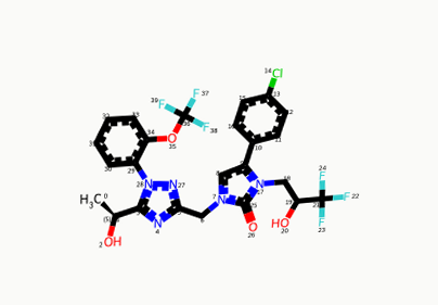 C[C@H](O)c1nc(Cn2cc(-c3ccc(Cl)cc3)n(CC(O)C(F)(F)F)c2=O)nn1-c1ccccc1OC(F)(F)F